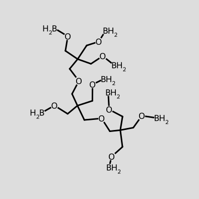 BOCC(COB)(COB)COCC(COB)(COB)COCC(COB)(COB)COB